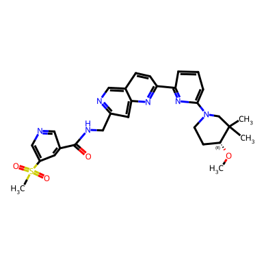 CO[C@@H]1CCN(c2cccc(-c3ccc4cnc(CNC(=O)c5cncc(S(C)(=O)=O)c5)cc4n3)n2)CC1(C)C